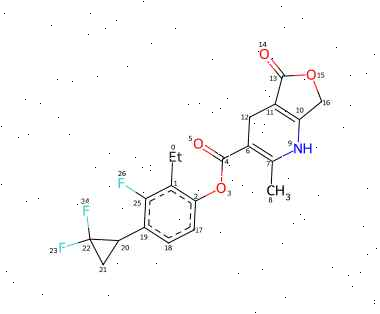 CCc1c(OC(=O)C2=C(C)NC3=C(C2)C(=O)OC3)ccc(C2CC2(F)F)c1F